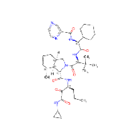 CCC[C@H](NC(=O)[C@@H]1[C@@H]2[C@@H](CC=C[C@H]2C)CN1C(=O)[C@@H](NC(=O)[C@@H](NC(=O)c1cnccn1)C1CCCCC1)C(C)(C)C)C(=O)C(=O)NC1CC1